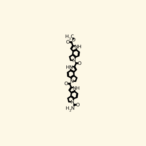 COC(=O)c1cc2c3c(ccc2[nH]1)N(C(=O)c1cc2c4c(ccc2[nH]1)N(C(=O)c1cc2c5c(ccc2[nH]1)N(C(N)=O)CC5)CC4)CC3